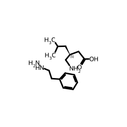 CC(C)C[C@H](CN)CC(=O)O.NNCCc1ccccc1